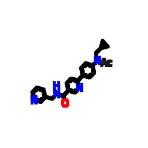 CC(=O)N(CC1CC1)c1ccc(-c2ccc(C(=O)NCc3cccnc3)cn2)cc1